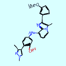 COc1cccc(-c2nc3c(Nc4ccc(-c5cn(C)nc5C)c(O)c4)cccn3c2C)c1